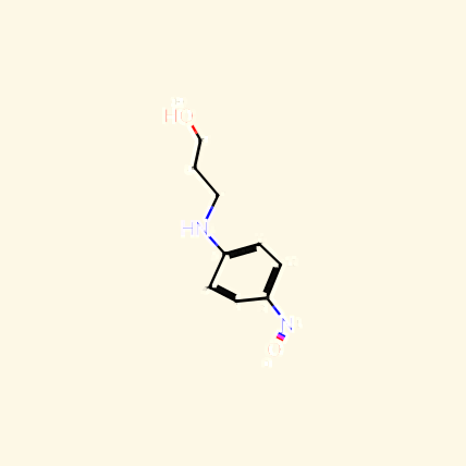 O=Nc1ccc(NCCCO)cc1